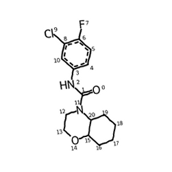 O=C(Nc1ccc(F)c(Cl)c1)N1CCOC2CCCCC21